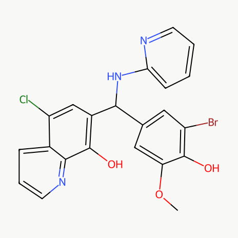 COc1cc(C(Nc2ccccn2)c2cc(Cl)c3cccnc3c2O)cc(Br)c1O